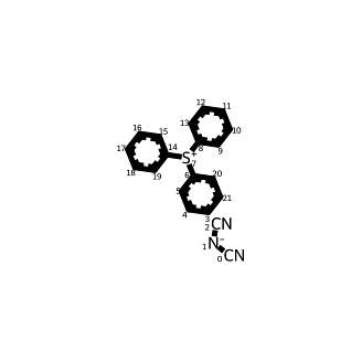 N#C[N-]C#N.c1ccc([S+](c2ccccc2)c2ccccc2)cc1